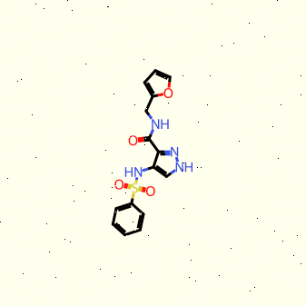 O=C(NCc1ccco1)c1n[nH]cc1NS(=O)(=O)c1ccccc1